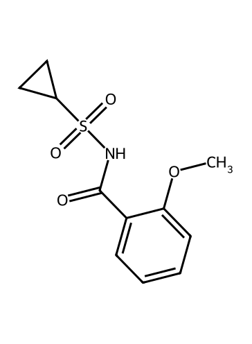 COc1ccccc1C(=O)NS(=O)(=O)C1CC1